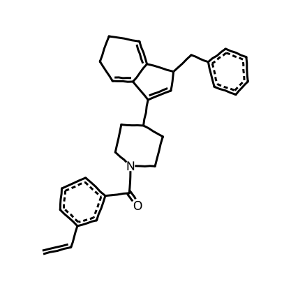 C=Cc1cccc(C(=O)N2CCC(C3=CC(Cc4ccccc4)C4=CCCC=C43)CC2)c1